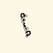 O=C1CCCCC(OC(=O)OCCCOC(=O)OC2CCCCC(=O)O2)O1